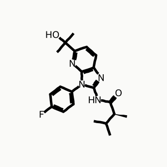 CC(C)[C@H](C)C(=O)Nc1nc2ccc(C(C)(C)O)nc2n1-c1ccc(F)cc1